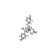 CC(OCc1ccc(F)cc1)(OCc1ccc(F)cc1)N1CCNCC1